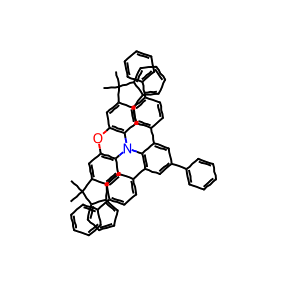 CC1(C)c2ccccc2-c2cc3c(cc21)Oc1cc2c(cc1N3c1c(-c3ccc(-c4ccccc4)cc3)cc(-c3ccccc3)cc1-c1ccc(-c3ccccc3)cc1)-c1ccccc1C2(C)C